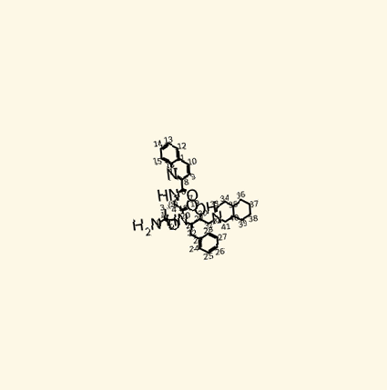 NC(=O)C[C@H](NC(=O)c1ccc2ccccc2n1)C(=O)NC(Cc1ccccc1)C(O)CN1CCC2CCCCC2C1